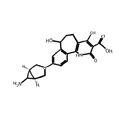 NC1[C@H]2CN(c3ccc4c(c3)C(O)CCc3c-4[nH]c(=O)c(C(=O)O)c3O)C[C@@H]12